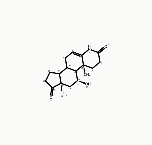 C[C@]12CCC(=O)NC1=CCC1C2[C@@H](O)C[C@]2(C)C(=O)CCC12